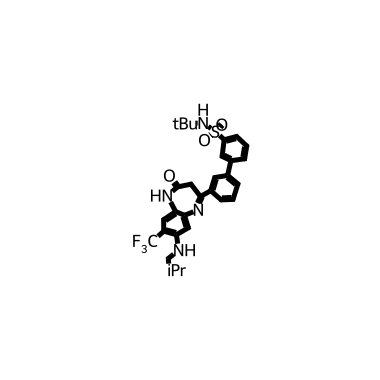 CC(C)CNc1cc2c(cc1C(F)(F)F)NC(=O)CC(c1cccc(-c3cccc(S(=O)(=O)NC(C)(C)C)c3)c1)=N2